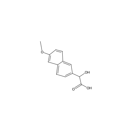 COc1ccc2cc(C(O)C(=O)O)ccc2c1